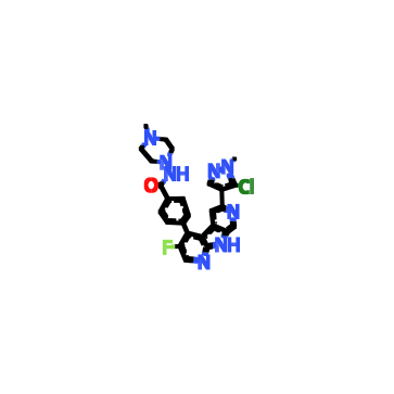 CN1CCN(NC(=O)c2ccc(-c3c(F)cnc4[nH]c5cnc(-c6cnn(C)c6Cl)cc5c34)cc2)CC1